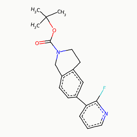 CC(C)(C)OC(=O)N1CCc2cc(-c3cccnc3F)ccc2C1